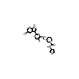 O=C(Nc1ccsc1)N1CCC[C@@H](CNc2nc(-c3c[nH]c4ncc(Cl)cc34)ncc2F)C1